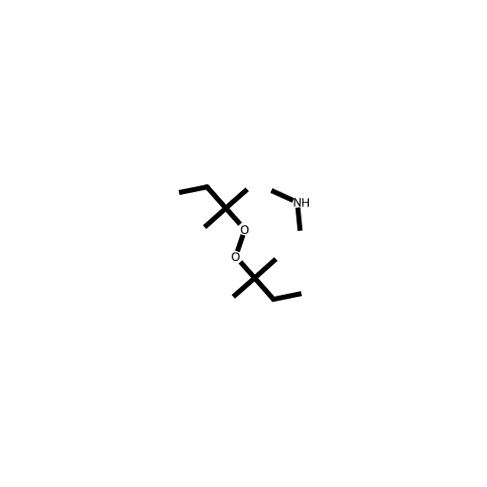 CCC(C)(C)OOC(C)(C)CC.CNC